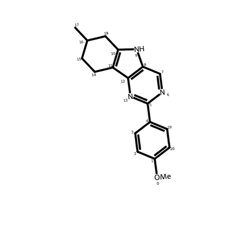 COc1ccc(-c2ncc3[nH]c4c(c3n2)CCC(C)C4)cc1